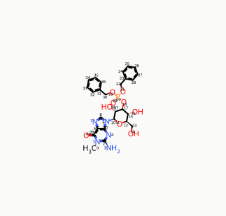 Cn1c(N)nc2c(ncn2[C@@H]2O[C@H](CO)[C@@H](O)[C@H](OP(=O)(OCc3ccccc3)OCc3ccccc3)[C@H]2O)c1=O